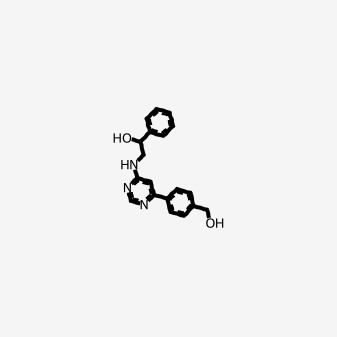 OCc1ccc(-c2cc(NCC(O)c3ccccc3)ncn2)cc1